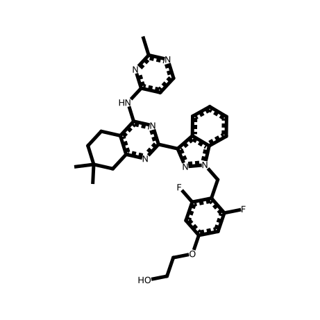 Cc1nccc(Nc2nc(-c3nn(Cc4c(F)cc(OCCO)cc4F)c4ccccc34)nc3c2CCC(C)(C)C3)n1